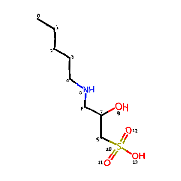 CCCCCNCC(O)CS(=O)(=O)O